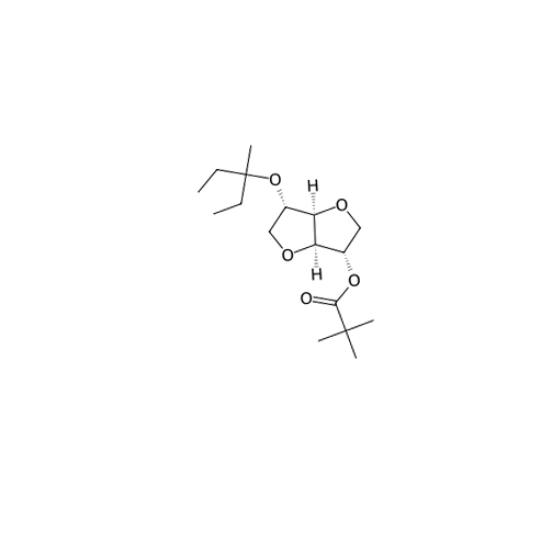 CCC(C)(CC)O[C@H]1CO[C@H]2[C@@H]1OC[C@@H]2OC(=O)C(C)(C)C